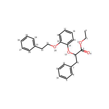 CCOC(=O)C(Cc1ccccc1)Oc1ccccc1OCCc1ccccc1